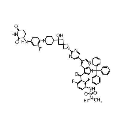 CCN(C)S(=O)(=O)Nc1ccc(F)c(C(=O)c2cn(C(c3ccccc3)(c3ccccc3)c3ccccc3)c3ncc(-c4cnc(N5CC6(C5)CC(O)(C5CCN(c7ccc(NC8CCC(=O)NC8=O)cc7F)CC5)C6)nc4)cc23)c1F